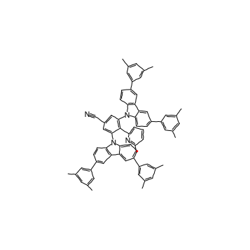 Cc1cc(C)cc(-c2ccc3c(c2)c2cc(-c4cc(C)cc(C)c4)ccc2n3-c2cc(C#N)cc(-n3c4ccc(-c5cc(C)cc(C)c5)cc4c4cc(-c5cc(C)cc(C)c5)ccc43)c2-c2cccc(C)n2)c1